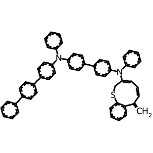 C=C1/C=C\C=C(\N(c2ccccc2)c2ccc(-c3ccc(N(c4ccccc4)c4ccc(-c5ccc(-c6ccccc6)cc5)cc4)cc3)cc2)CSc2ccccc21